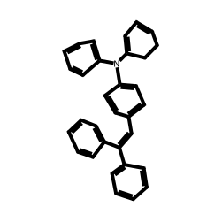 C1=CCCC(N(c2ccccc2)c2ccc(C=C(c3ccccc3)c3ccccc3)cc2)=C1